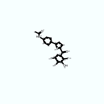 CC(=O)Nc1ccc(-c2ccc(C(=O)c3cc(F)c(F)c(O)c3F)s2)cc1